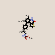 COc1cc(C)c2[nH]c(=O)c3sccc3c2c1-c1ccc(C(CNC(=O)OC(C)(C)C)C(C)C)cc1